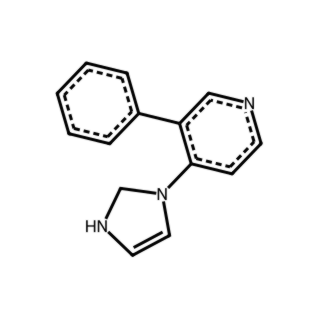 C1=CN(c2ccncc2-c2ccccc2)CN1